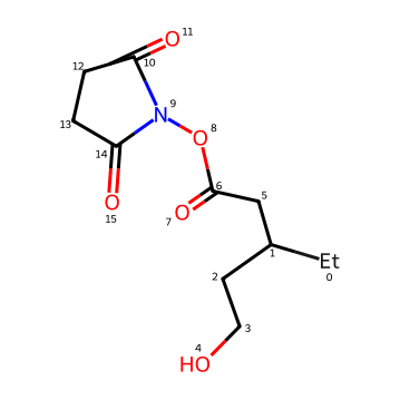 CCC(CCO)CC(=O)ON1C(=O)CCC1=O